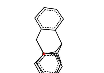 c1ccc2c(c1)C1c3ccccc3C2[n+]2ccccc21